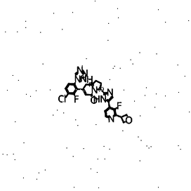 O=C1C=C(c2c(-n3cnnn3)ccc(Cl)c2F)C[C@H]2CC[C@@H](c3ncc(-c4ccnc(C5COC5)c4F)[nH]3)N12